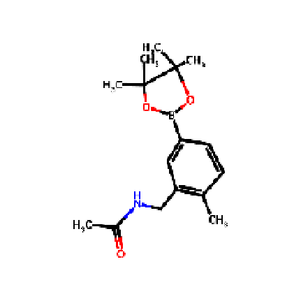 CC(=O)NCc1cc(B2OC(C)(C)C(C)(C)O2)ccc1C